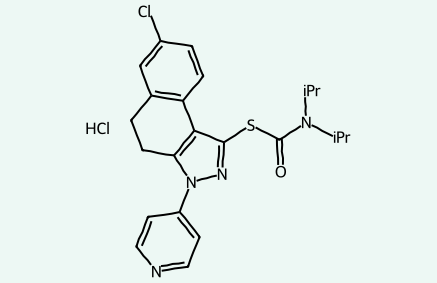 CC(C)N(C(=O)Sc1nn(-c2ccncc2)c2c1-c1ccc(Cl)cc1CC2)C(C)C.Cl